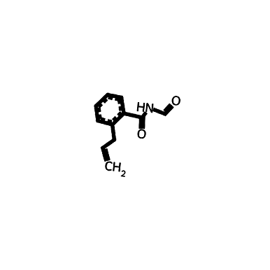 C=CCc1ccccc1C(=O)NC=O